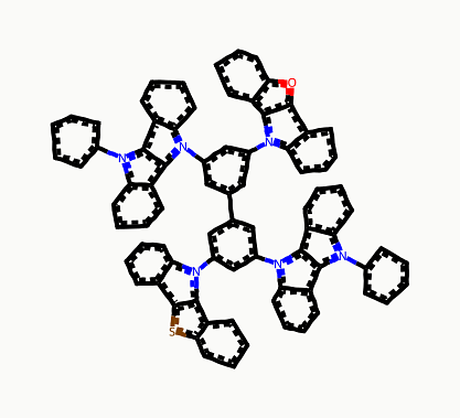 c1ccc(-n2c3ccccc3c3c2c2ccccc2n3-c2cc(-c3cc(-n4c5ccccc5c5sc6ccccc6c54)cc(-n4c5ccccc5c5c4c4ccccc4n5-c4ccccc4)c3)cc(-n3c4ccccc4c4oc5ccccc5c43)c2)cc1